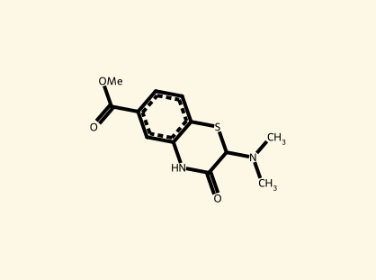 COC(=O)c1ccc2c(c1)NC(=O)C(N(C)C)S2